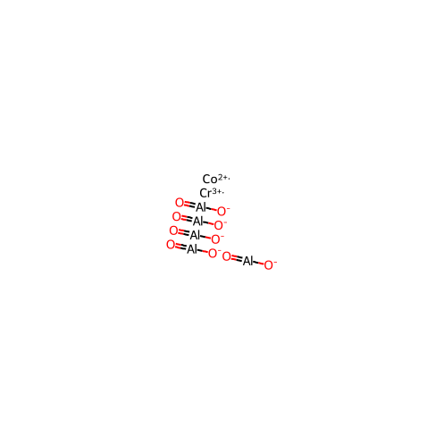 [Co+2].[Cr+3].[O]=[Al][O-].[O]=[Al][O-].[O]=[Al][O-].[O]=[Al][O-].[O]=[Al][O-]